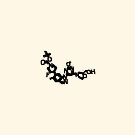 COc1nc(N2CCO[C@@H](CO)C2)cc(-n2ncc3cc(C)c(C4CCN(C(=O)OC(C)(C)C)CC4F)cc32)n1